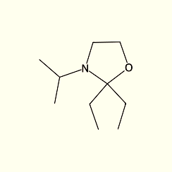 CCC1(CC)OCCN1C(C)C